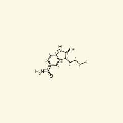 CCCCC1C(=O)Nc2ccc(C(N)=O)cc21